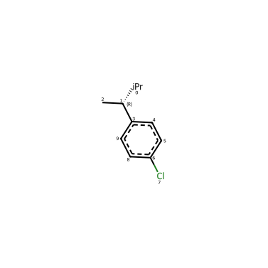 CC(C)[C@@H](C)c1ccc(Cl)cc1